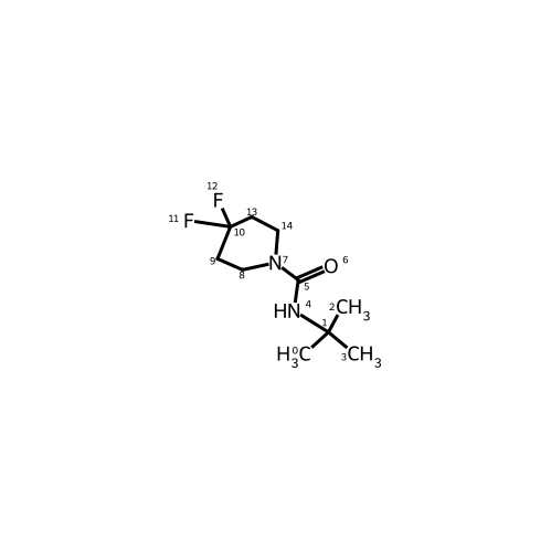 CC(C)(C)NC(=O)N1CCC(F)(F)CC1